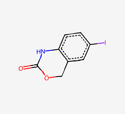 O=C1Nc2ccc(I)cc2CO1